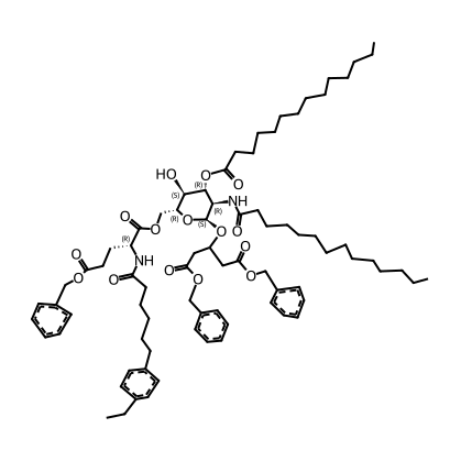 CCCCCCCCCCCCCC(=O)N[C@H]1[C@@H](OC(CC(=O)OCc2ccccc2)CC(=O)OCc2ccccc2)O[C@H](COC(=O)[C@@H](CCC(=O)OCc2ccccc2)NC(=O)CCCCCc2ccc(CC)cc2)[C@@H](O)[C@@H]1OC(=O)CCCCCCCCCCCCC